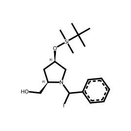 CC(C)(C)[Si](C)(C)O[C@@H]1C[C@H](CO)N(C(I)c2ccccc2)C1